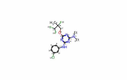 CCN(CC)c1nc(Nc2cccc(Cl)c2)nc(OCC(C)(F)C(F)F)n1